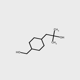 CC(C)(O)CC1CCC(CO)CC1